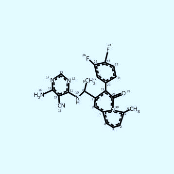 Cc1cccc2cc(C(C)Nc3ncnc(N)c3C#N)c(-c3ccc(F)c(F)c3)c(=O)n12